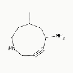 CC1CCNCC#CC(N)C1